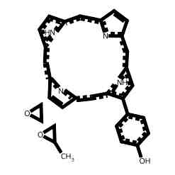 C1CO1.CC1CO1.Oc1ccc(-c2cc3cc4nc(cc5ccc(cc6nc(cc2[nH]3)C=C6)[nH]5)C=C4)cc1